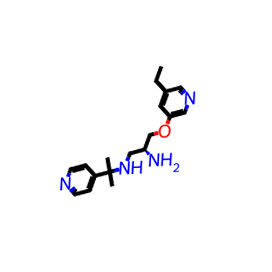 CCc1cncc(OC[C@@H](N)CNC(C)(C)c2ccncc2)c1